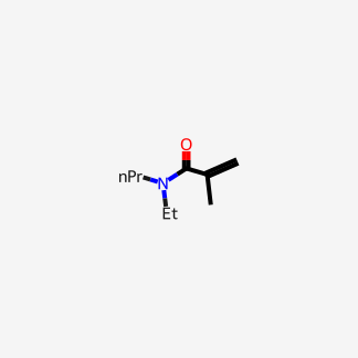 [CH2]CCN(CC)C(=O)C(=C)C